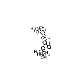 CC(=O)N(C)C1CCC(CC(=O)Nc2cnc(-c3ccc(C(C)(C)NC(=O)O)cc3)c(-c3ccccc3F)c2)CC1